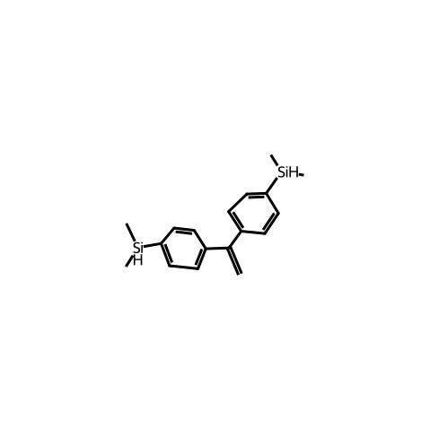 C=C(c1ccc([SiH](C)C)cc1)c1ccc([SiH](C)C)cc1